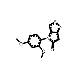 COc1ccc(-n2c3cssc-3cc2=O)c(OC)c1